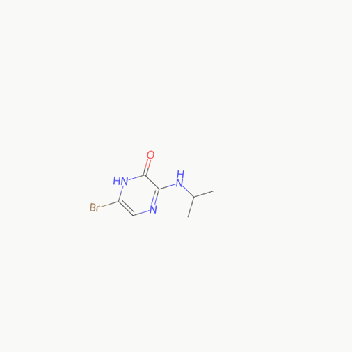 CC(C)Nc1ncc(Br)[nH]c1=O